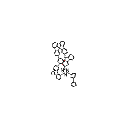 c1ccc(-c2cccc(-c3nc(-c4ccc5sc6ccccc6c5c4)nc(-c4cccc5oc6ccc(-c7cccc(-c8ccc9c(c8)C8(c%10ccccc%10-c%10ccccc%108)c8ccccc8-9)c7)cc6c45)n3)c2)cc1